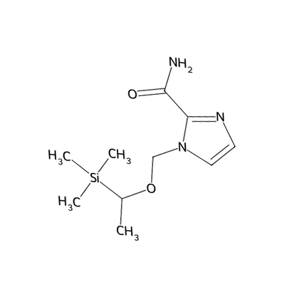 CC(OCn1ccnc1C(N)=O)[Si](C)(C)C